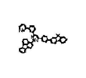 CC1(C)c2ccccc2-c2ccc(-c3ccc(-c4cc(-c5cccc(-c6cccnc6)c5)nc(-c5ccc6c7c(cccc57)-c5ccccc5-6)n4)cc3)cc21